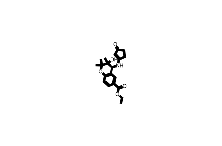 CCOC(=O)c1ccc2c(c1)C(NC1=CC(=O)CC1)C(C)(O)C(C)(C)O2